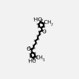 Cc1cc(C(=O)CCCCCCCCC(=O)c2ccc(O)c(C)c2)ccc1O